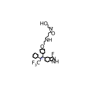 CN(CCO)C(=O)CCCNCCOc1ccc(/C(=C(/CC(F)(F)F)c2ccccc2)c2ccc3[nH]nc(F)c3c2)cc1